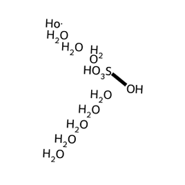 O.O.O.O.O.O.O.O.O=S(=O)(O)O.[Ho]